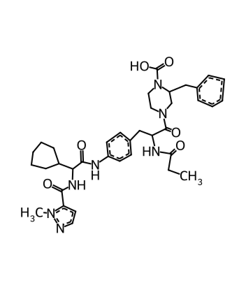 CCC(=O)NC(Cc1ccc(NC(=O)C(NC(=O)c2ccnn2C)C2CCCCC2)cc1)C(=O)N1CCN(C(=O)O)C(Cc2ccccc2)C1